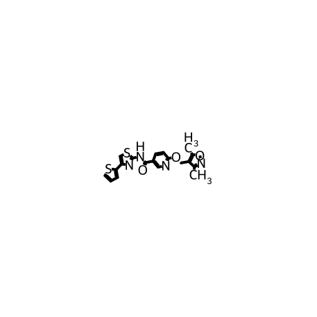 Cc1noc(C)c1COc1ccc(C(=O)Nc2nc(-c3cccs3)cs2)cn1